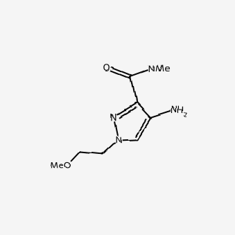 CNC(=O)c1nn(CCOC)cc1N